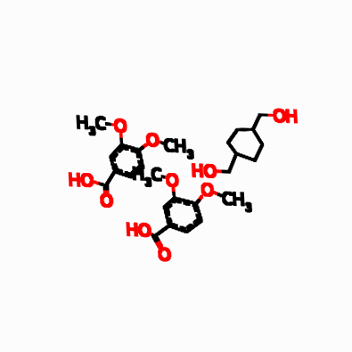 COc1ccc(C(=O)O)cc1OC.COc1ccc(C(=O)O)cc1OC.OCC1CCC(CO)CC1